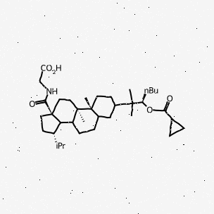 CCCC[C@@H](OC(=O)C1CC1)C(C)(C)C1CC[C@]2(C)C(CCC3C4[C@H](C(C)C)CC[C@]4(C(=O)NCC(=O)O)CC[C@]32C)C1